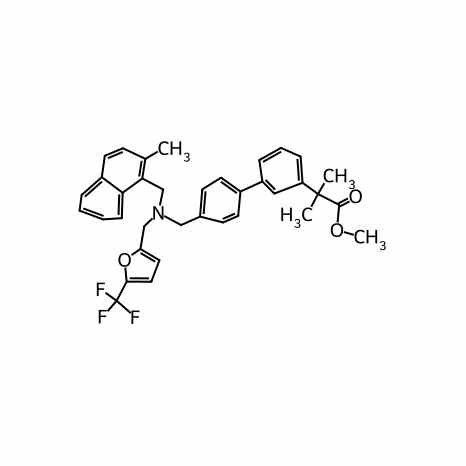 COC(=O)C(C)(C)c1cccc(-c2ccc(CN(Cc3ccc(C(F)(F)F)o3)Cc3c(C)ccc4ccccc34)cc2)c1